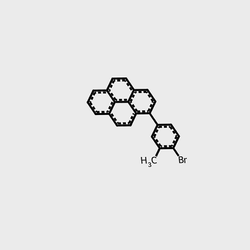 Cc1cc(-c2ccc3ccc4cccc5ccc2c3c45)ccc1Br